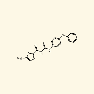 CSc1ccc(C(=O)NC(=S)Nc2ccc(Oc3ccccc3)cc2)s1